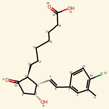 Cc1cc(C=C[C@@H]2[C@H](O)CC(=O)[C@H]2CCCCCCC(=O)O)ccc1F